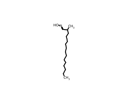 CCCCCCCCCCCCCC(C)C=NO